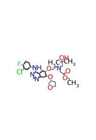 CCOC(=O)CN(CCOc1cc2c(Nc3ccc(F)c(Cl)c3)ncnc2cc1O[C@@H]1CCOC1)CC(C)(C)O